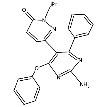 CC(C)n1nc(-c2c(Oc3ccccc3)nc(N)nc2-c2ccccc2)ccc1=O